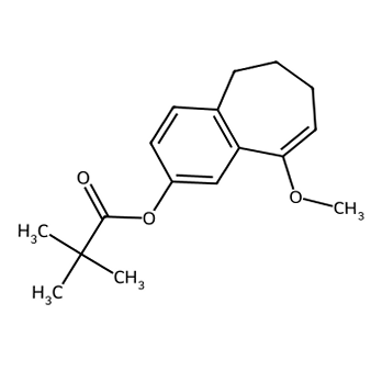 COC1=CCCCc2ccc(OC(=O)C(C)(C)C)cc21